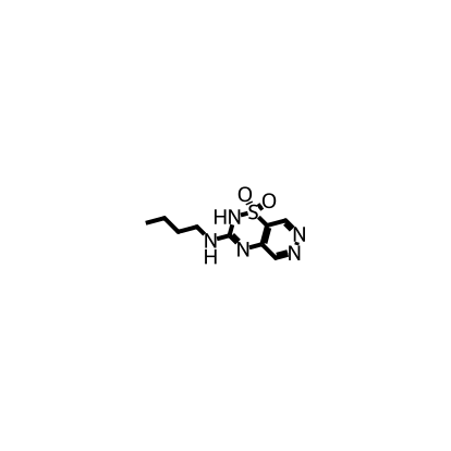 CCCCNC1=Nc2cnncc2S(=O)(=O)N1